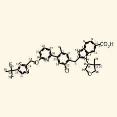 Cc1cc(Cc2nc3ccc(C(=O)O)cc3n2[C@@H]2COCC2(C)C)c(Cl)cc1-c1cccc(OCc2ncc(C(C)(F)F)s2)n1